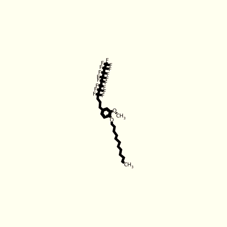 CCCCCCCCCCCCOc1ccc(CCCC(F)(F)C(F)(F)C(F)(F)C(F)(F)C(F)(F)C(F)(F)C(F)(F)C(F)(F)F)cc1OC